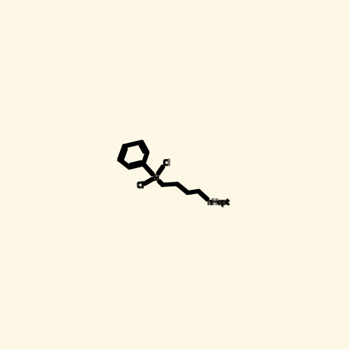 CCCCCCCCCCC[Si](Cl)(Cl)c1ccccc1